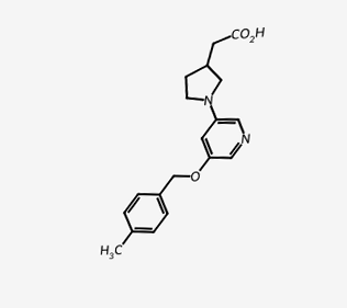 Cc1ccc(COc2cncc(N3CCC(CC(=O)O)C3)c2)cc1